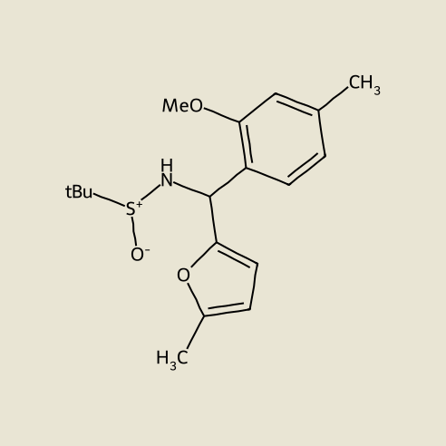 COc1cc(C)ccc1C(N[S+]([O-])C(C)(C)C)c1ccc(C)o1